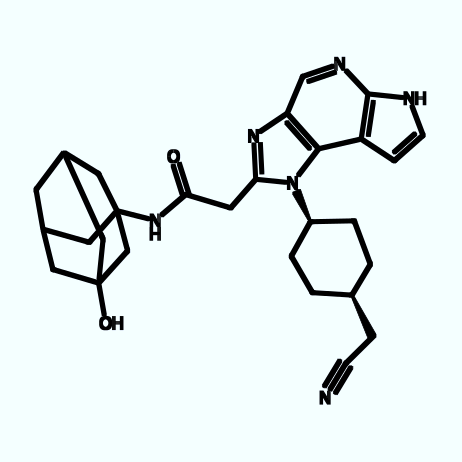 N#CC[C@H]1CC[C@@H](n2c(CC(=O)NC34CC5CC(CC(O)(C5)C3)C4)nc3cnc4[nH]ccc4c32)CC1